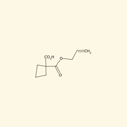 C=CCOC(=O)C1(C(=O)O)CCC1